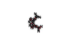 N#CC(C#N)=C1c2cc(OC(F)(F)F)c(-c3ccc(-c4cc(C#N)cc(C#N)c4)cc3)cc2-c2cc(-c3ccc(-c4cc(C#N)cc(C#N)c4)cc3)c(OC(F)(F)F)cc21